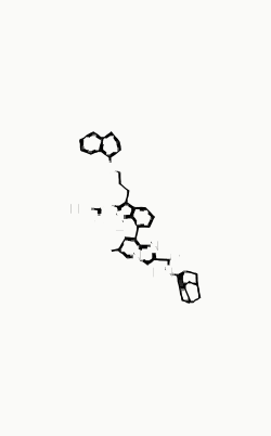 Cc1cc(-c2cccc3c(CCCOc4cccc5ccccc45)c(OC(=O)O)[nH]c23)c2nc(C(=O)NC3C4CC5CC(C4)CC3C5)cn2c1